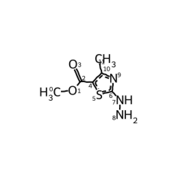 COC(=O)c1sc(NN)nc1C